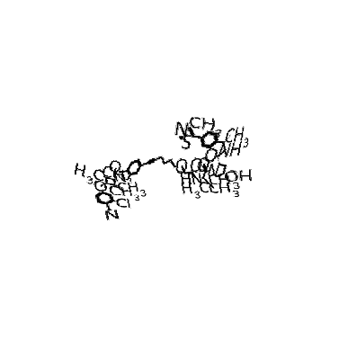 Cc1ncsc1-c1ccc([C@H](C)NC(=O)[C@@H]2C[C@@H](O)CN2C(=O)[C@@H](NC(=O)COCCCCC#Cc2ccc3c(c2)CN([C@H]2C(C)(C)[C@H](Oc4ccc(C#N)c(Cl)c4)C2(C)C)C3=O)C(C)(C)C)cc1